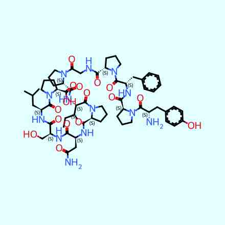 CC[C@H](C)[C@H](NC(=O)[C@@H]1CCCN1C(=O)CNC(=O)[C@@H]1CCCN1C(=O)[C@H](Cc1ccccc1)NC(=O)[C@@H]1CCCN1C(=O)[C@@H](N)Cc1ccc(O)cc1)C(=O)N1CCC[C@H]1C(=O)N[C@@H](CC(N)=O)C(=O)N[C@@H](CO)C(=O)N[C@@H](CC(C)C)C(=O)N1CCC[C@H]1C(=O)O